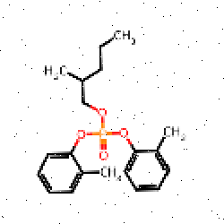 CCCC(C)COP(=O)(Oc1ccccc1C)Oc1ccccc1C